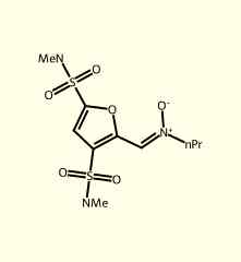 CCC[N+]([O-])=Cc1oc(S(=O)(=O)NC)cc1S(=O)(=O)NC